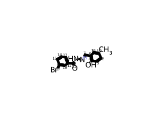 Cc1ccc(O)c(/C=N/NC(=O)c2cccc(Br)c2)c1